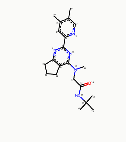 Cc1cnc(-c2nc3c(c(N(C)CC(=O)NC(C)(C)C)n2)CCC3)cc1C